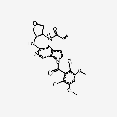 C=CC(=O)NC1COCC1Nc1ncc2c(ccn2C(=O)c2c(Cl)c(OC)cc(OC)c2Cl)n1